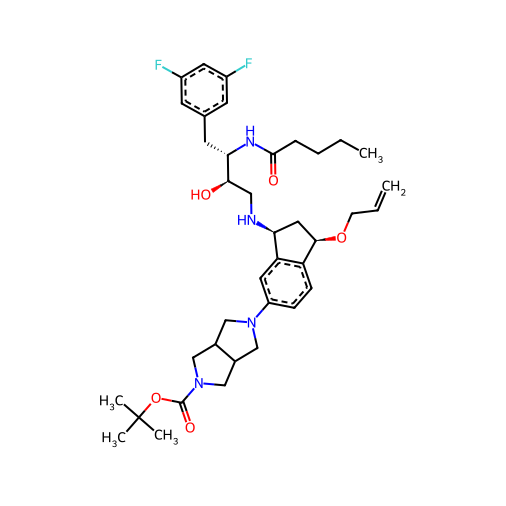 C=CCO[C@@H]1C[C@H](NC[C@@H](O)[C@H](Cc2cc(F)cc(F)c2)NC(=O)CCCC)c2cc(N3CC4CN(C(=O)OC(C)(C)C)CC4C3)ccc21